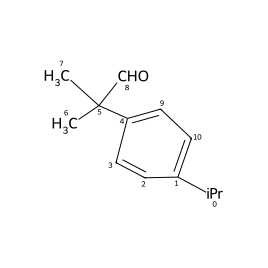 CC(C)c1ccc(C(C)(C)C=O)cc1